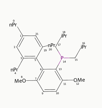 CCCc1cc(CCC)c(-c2c(OC)ccc(OC)c2P(CC(C)C)CC(C)C)c(CCC)c1